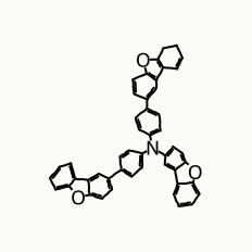 C1=Cc2c(oc3ccc(-c4ccc(N(c5ccc(-c6ccc7oc8ccccc8c7c6)cc5)c5ccc6oc7ccccc7c6c5)cc4)cc23)CC1